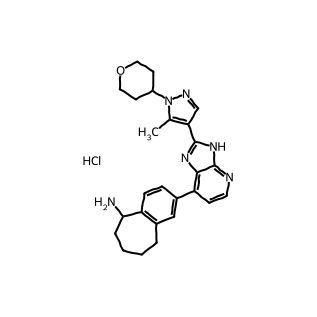 Cc1c(-c2nc3c(-c4ccc5c(c4)CCCCC5N)ccnc3[nH]2)cnn1C1CCOCC1.Cl